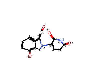 O=C=C1c2cccc(Br)c2CN1C1CCC(=O)NC1=O